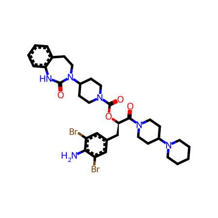 Nc1c(Br)cc(C[C@@H](OC(=O)N2CCC(N3CCc4ccccc4NC3=O)CC2)C(=O)N2CCC(N3CCCCC3)CC2)cc1Br